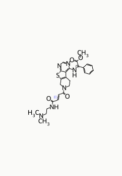 COC(=O)[C@@H](Nc1ncnc2sc3c(c12)CCN(C(=O)/C=C/C(=O)NCCN(C)C)C3)c1ccccc1